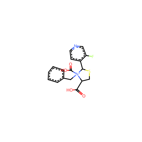 O=C(O)C1CSC(c2ccncc2F)[N+]1(Cc1ccccc1)C(=O)O